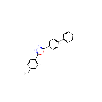 CC(C)(C)c1ccc(-c2nnc(-c3ccc(C4=CCCC=C4)cc3)o2)cc1